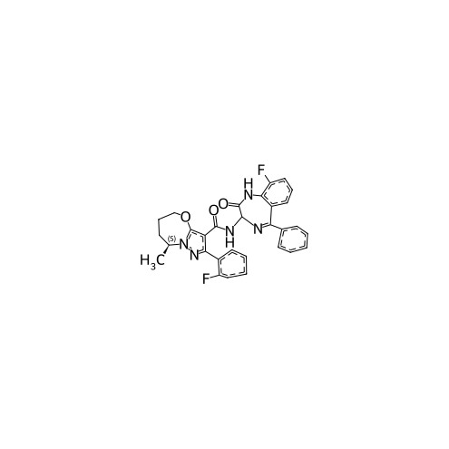 C[C@H]1CCCOc2c(C(=O)NC3N=C(c4ccccc4)c4cccc(F)c4NC3=O)c(-c3ccccc3F)nn21